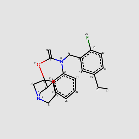 C=C(OC1CN2CCC1CC2)N(Cc1cc(CC)ccc1F)c1ccccc1